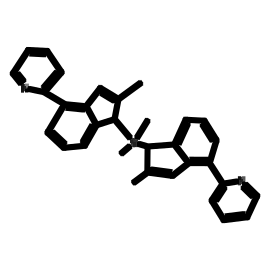 CC1=Cc2c(-c3ccccn3)cccc2C1[Si](C)(C)C1C(C)=Cc2c(-c3ccccn3)cccc21